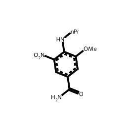 CCCNc1c(OC)cc(C(N)=O)cc1[N+](=O)[O-]